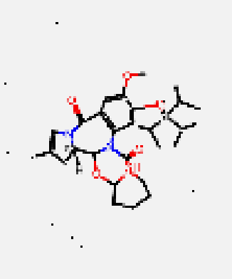 COc1cc2c(cc1O[Si](C(C)C)(C(C)C)C(C)C)N(C(=O)O)C(OC1CCCCO1)[C@@H]1CC(C)=CN1C2=O